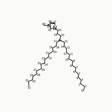 CCCCCCCCCCCCCCCCC(CCCCCCCCCCCCCCCC)CCCN1C=CN(C)C1